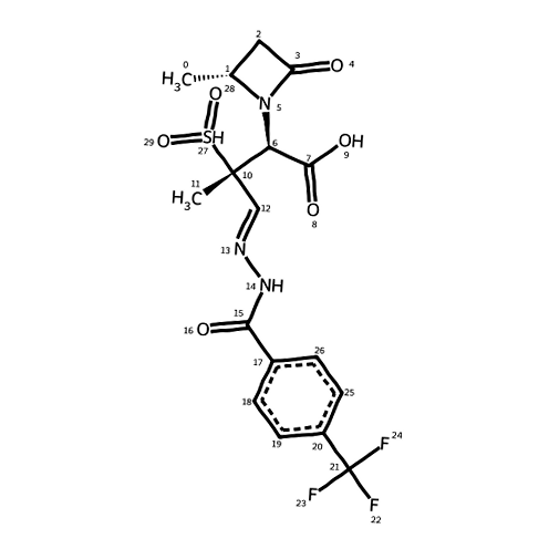 C[C@@H]1CC(=O)N1[C@@H](C(=O)O)[C@](C)(/C=N/NC(=O)c1ccc(C(F)(F)F)cc1)[SH](=O)=O